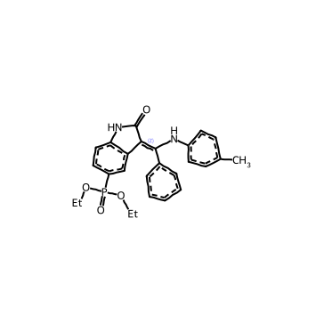 CCOP(=O)(OCC)c1ccc2c(c1)/C(=C(/Nc1ccc(C)cc1)c1ccccc1)C(=O)N2